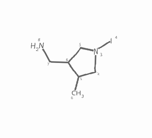 CC1CN(I)CC1CN